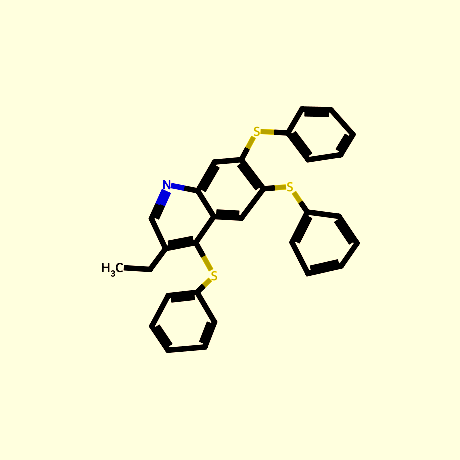 CCc1cnc2cc(Sc3ccccc3)c(Sc3ccccc3)cc2c1Sc1ccccc1